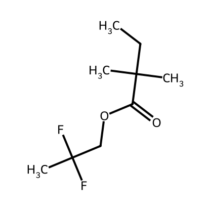 CCC(C)(C)C(=O)OCC(C)(F)F